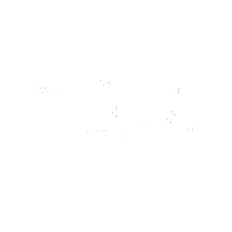 COc1ccc2[nH]cc(C[C@H](NC(=O)COc3cc(C(F)(F)F)nn3-c3ccccc3Cl)C(=O)O)c2c1